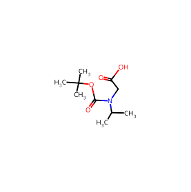 CC(C)N(CC(=O)O)C(=O)OC(C)(C)C